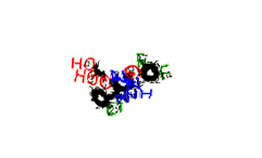 OC[C@H](O)COc1nc(Oc2ccc(F)cc2F)nc2[nH]nc(-c3ccccc3Cl)c12